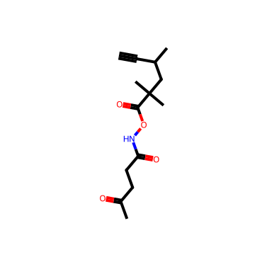 C#CC(C)CC(C)(C)C(=O)ONC(=O)CCC(C)=O